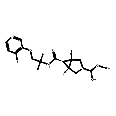 CC(C)(COc1cnccc1I)NC(=O)[C@H]1[C@@H]2CN(C(O)OC(C)(C)C)C[C@@H]21